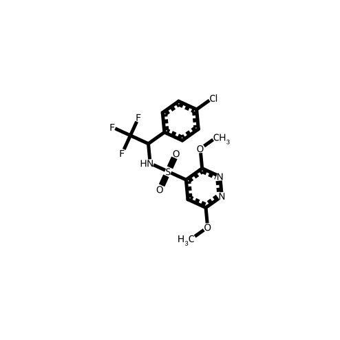 COc1cc(S(=O)(=O)NC(c2ccc(Cl)cc2)C(F)(F)F)c(OC)nn1